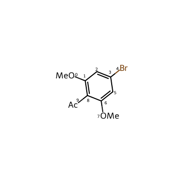 COc1cc(Br)cc(OC)c1C(C)=O